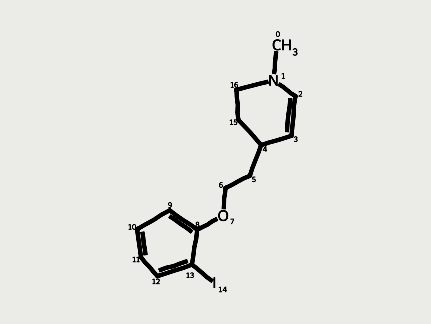 CN1C=CC(CCOc2ccccc2I)CC1